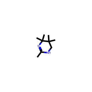 CC1=NC(C)(C)C(C)(C)CN1